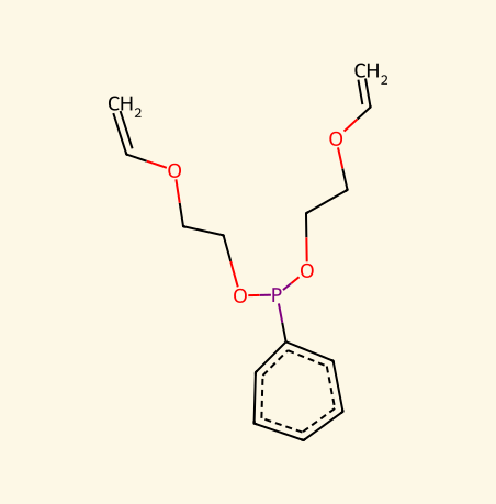 C=COCCOP(OCCOC=C)c1ccccc1